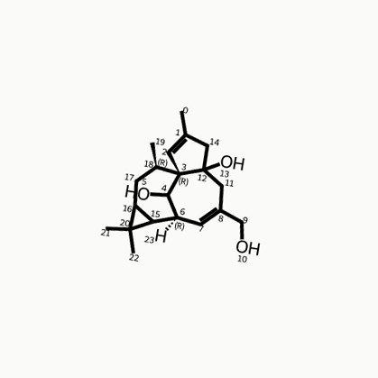 CC1=C[C@]23C(O)[C@@H](C=C(CO)CC2(O)C1)C1C(C[C@H]3C)C1(C)C